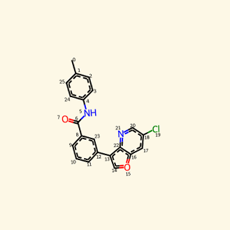 Cc1ccc(NC(=O)c2cccc(-c3coc4cc(Cl)cnc34)c2)cc1